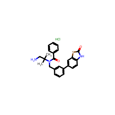 CC(C)(CN)N(Cc1cccc(-c2ccc3[nH]c(=O)sc3c2)c1)C(=O)c1ccccc1.Cl